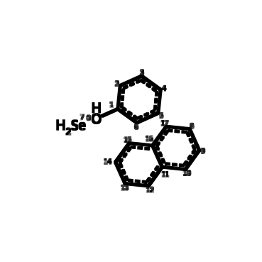 Oc1ccccc1.[SeH2].c1ccc2ccccc2c1